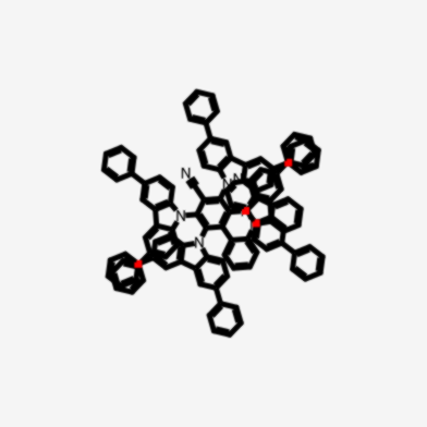 N#Cc1c(-n2c3ccc(-c4ccccc4)cc3c3cc(-c4ccccc4)ccc32)c(-n2c3ccc(-c4ccccc4)cc3c3cc(-c4ccccc4)ccc32)c(-c2ccccc2-n2c3ccccc3c3cnccc32)c(-n2c3ccc(-c4ccccc4)cc3c3cc(-c4ccccc4)ccc32)c1-n1c2ccc(-c3ccccc3)cc2c2cc(-c3ccccc3)ccc21